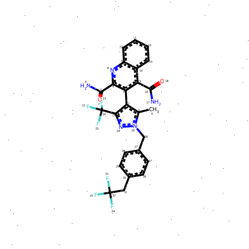 Cc1c(-c2c(C(N)=O)nc3ccccc3c2C(N)=O)c(C(F)(F)F)nn1Cc1ccc(CC(F)(F)F)cc1